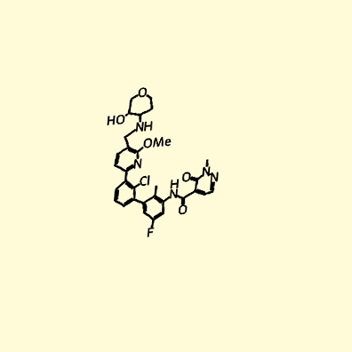 COc1nc(-c2cccc(-c3cc(F)cc(NC(=O)c4ccnn(C)c4=O)c3C)c2Cl)ccc1CNC1CCOC[C@@H]1O